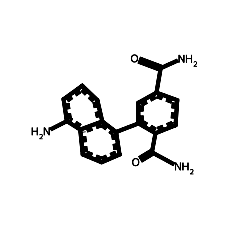 NC(=O)c1ccc(C(N)=O)c(-c2cccc3c(N)cccc23)c1